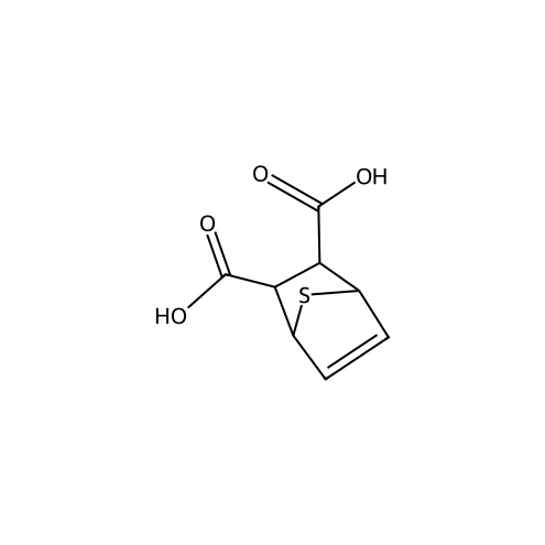 O=C(O)C1C2C=CC(S2)C1C(=O)O